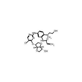 C=CC(=O)Nc1cc(Nc2ncc(Cl)c(O[C@@H]3CO[C@H]4[C@@H]3OC[C@H]4O)n2)ccc1N(C)CCO